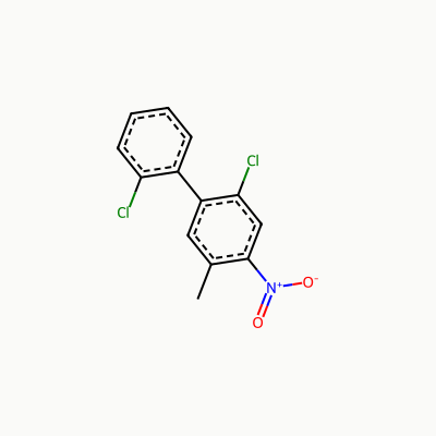 Cc1cc(-c2ccccc2Cl)c(Cl)cc1[N+](=O)[O-]